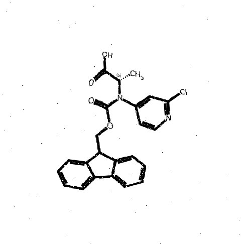 C[C@@H](C(=O)O)N(C(=O)OCC1c2ccccc2-c2ccccc21)c1ccnc(Cl)c1